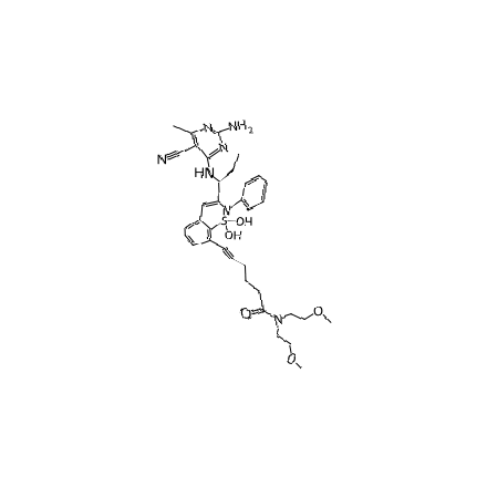 CC[C@H](Nc1nc(N)nc(C)c1C#N)C1=Cc2cccc(C#CCCCC(=O)N(CCOC)CCOC)c2S(O)(O)N1c1ccccc1